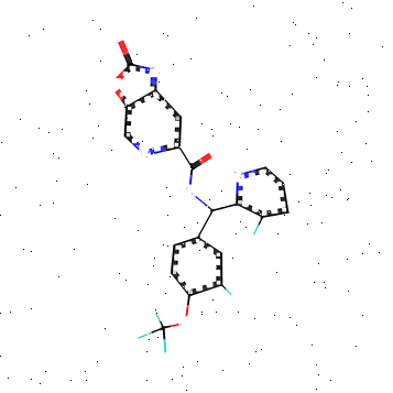 O=C(NC(c1ccc(OC(F)(F)F)c(F)c1)c1ncccc1F)c1cc2[nH]c(=O)oc2cn1